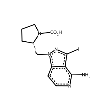 Nc1nccc2c1c(I)nn2C[C@@H]1CCCN1C(=O)O